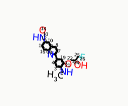 CNc1ccc(-c2ccc3cc(NC=O)ccc3n2)cc1OCC(O)CF